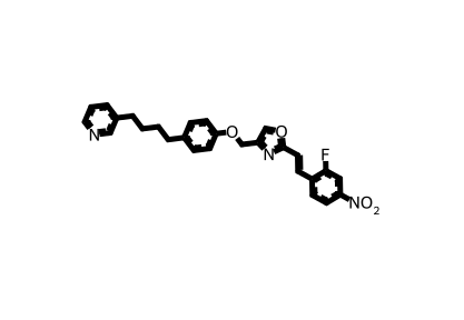 O=[N+]([O-])c1ccc(C=Cc2nc(COc3ccc(CCCCc4cccnc4)cc3)co2)c(F)c1